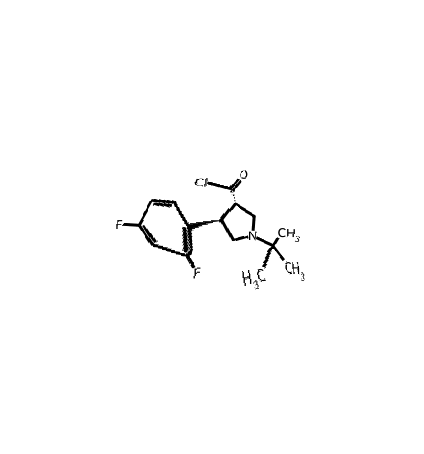 CC(C)(C)N1C[C@@H](C(=O)Cl)[C@H](c2ccc(F)cc2F)C1